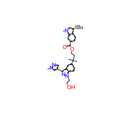 Cn1cc(-c2nn(CCO)c3ccc(C(C)(C)CCOC(=O)c4ccc5c(C(C)(C)C)cn(C)c5c4)cc23)cn1